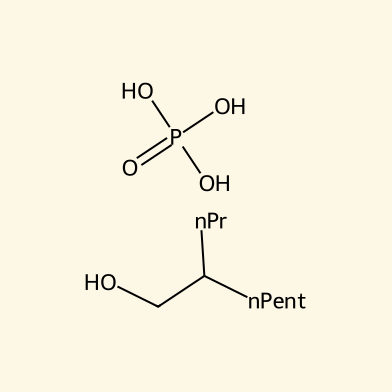 CCCCCC(CO)CCC.O=P(O)(O)O